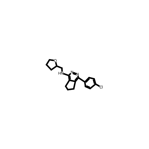 Clc1ccc(-c2nnc(NCC3CCCO3)c3c2CCC3)cc1